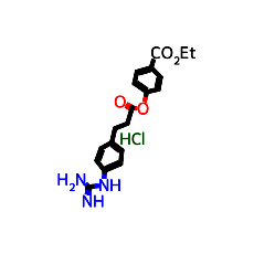 CCOC(=O)c1ccc(OC(=O)CCc2ccc(NC(=N)N)cc2)cc1.Cl